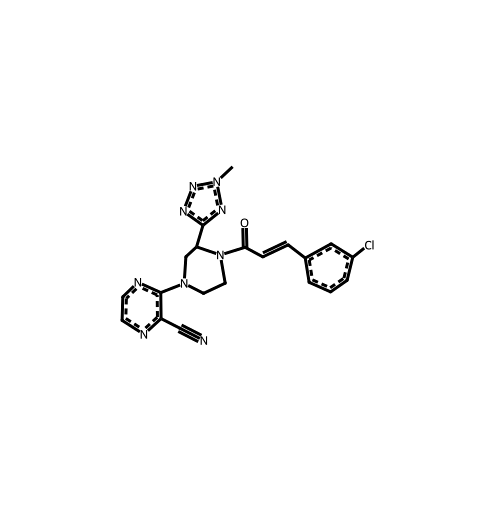 Cn1nnc(C2CN(c3nccnc3C#N)CCN2C(=O)C=Cc2cccc(Cl)c2)n1